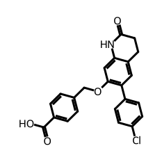 O=C1CCc2cc(-c3ccc(Cl)cc3)c(OCc3ccc(C(=O)O)cc3)cc2N1